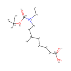 CCN(CCC(C)CCCCC(=O)O)C(=O)OC(C)(C)C